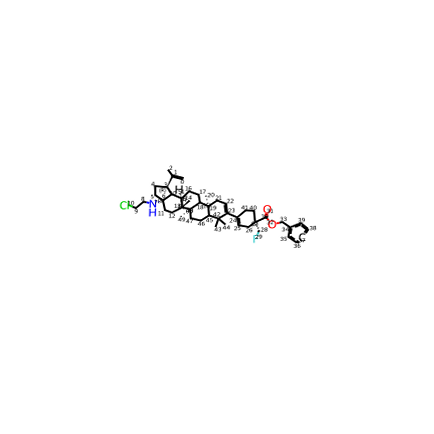 C=C(C)[C@@H]1CC[C@]2(NCCCl)CC[C@]3(C)[C@H](CCC4[C@@]5(C)CC=C(C6=CC[C@](CF)(C(=O)OCc7ccccc7)CC6)C(C)(C)C5CC[C@]43C)C12